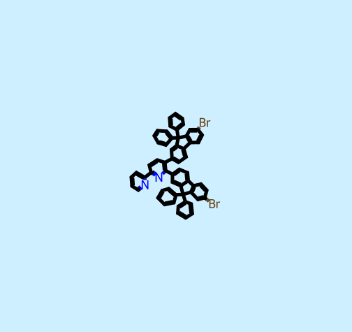 Brc1ccc2c(c1)C(c1ccccc1)(c1ccccc1)c1cc(-c3ccc(-c4ccccn4)nc3-c3ccc4c(c3)C(c3ccccc3)(c3ccccc3)c3cc(Br)ccc3-4)ccc1-2